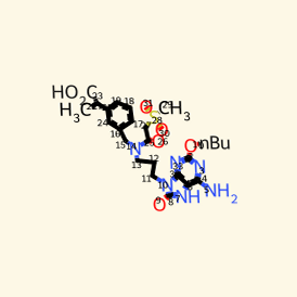 CCCCOc1nc(N)c2[nH]c(=O)n(CCCN(Cc3cccc(C(C)C(=O)O)c3)C(=O)CS(C)(=O)=O)c2n1